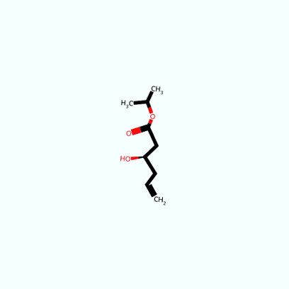 C=CC[C@@H](O)CC(=O)OC(C)C